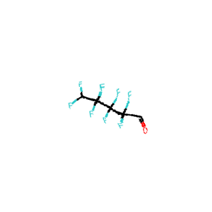 O=CC(F)(F)C(F)(F)C(F)(F)C(F)F